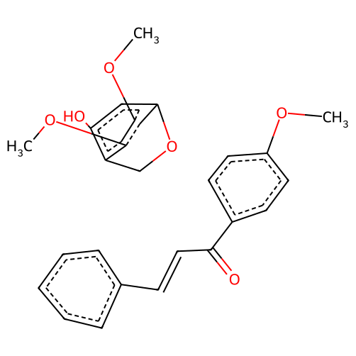 COc1c2cc(O)c(c1OC)CO2.COc1ccc(C(=O)C=Cc2ccccc2)cc1